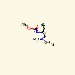 CN(C)C[C@H](CC#N)NC(=O)OC(C)(C)C